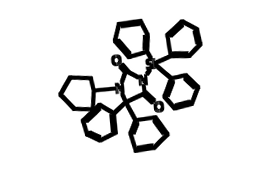 O=C1N(C2CCCCC2)C(c2ccccc2)(c2ccccc2)C(=O)N1[Si](c1ccccc1)(c1ccccc1)c1ccccc1